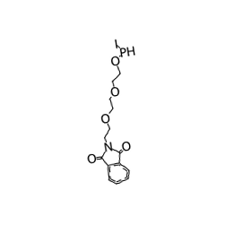 O=C1c2ccccc2C(=O)N1CCOCCOCCOPI